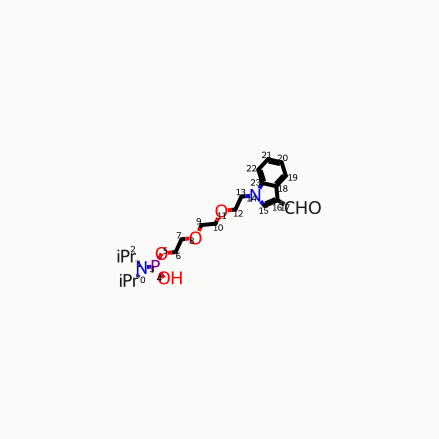 CC(C)N(C(C)C)P(O)OCCOCCOCCn1cc(C=O)c2ccccc21